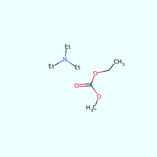 CCN(CC)CC.CCOC(=O)OC